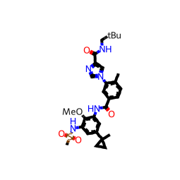 COc1c(NC(=O)c2ccc(C)c(-n3cnc(C(=O)NCC(C)(C)C)c3)c2)cc(C2(C)CC2)cc1NS(C)(=O)=O